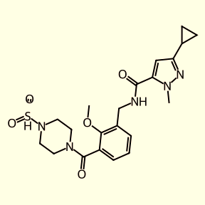 COc1c(CNC(=O)c2cc(C3CC3)nn2C)cccc1C(=O)N1CCN([SH](=O)=O)CC1